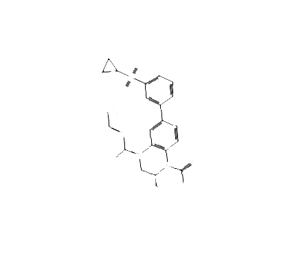 CCOC(O)N1C[C@H](C)N(C(C)=O)c2ccc(-c3cccc(S(=O)(=O)C4CC4)c3)cc21